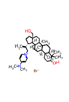 C=C(C[n+]1ccc(N(C)C)cc1)[C@@H]1CC[C@]2(CO)CC[C@]3(C)[C@H](CC[C@@H]4[C@@]5(C)CCC(O)C(C)(C)[C@@H]5CC[C@]43C)[C@@H]12.[Br-]